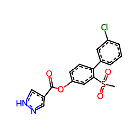 CS(=O)(=O)c1cc(OC(=O)c2cn[nH]c2)ccc1-c1cccc(Cl)c1